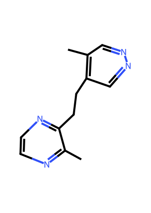 Cc1cnncc1CCc1nccnc1C